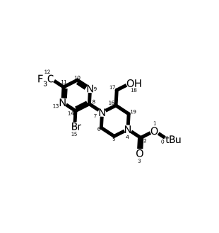 CC(C)(C)OC(=O)N1CCN(c2ncc(C(F)(F)F)nc2Br)C(CO)C1